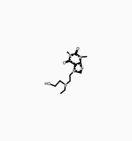 CCN(CCO)CCn1cnc2c1c(=O)n(C)c(=O)n2C